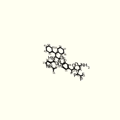 CC(C(=O)N(CC(N)=O)C(F)C(F)F)c1ccc(NC(=O)[C@@H](NC(=O)c2ccnn2C(C)C)C(C2CCCCC2)C2CCCCC2)c(F)c1